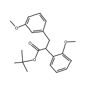 COc1cccc(CC(C(=O)OC(C)(C)C)c2ccccc2OC)c1